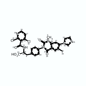 Cn1c(=O)n(-c2ccc(C[C@H](NC(=O)c3c(Cl)ccnc3Cl)C(=O)O)cc2)c(=O)c2cc(F)c(-n3ccnc3)cc21